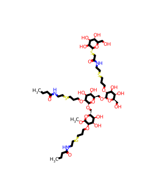 CCCC(=O)NCCSCCCO[C@H]1[C@@H](OC)O[C@H](CO[C@H]2O[C@H](CO[C@H]3O[C@H](CO)[C@@H](O)[C@H](O)[C@H]3OCCCSCCNC(=O)CS[C@H]3OC(CO)[C@@H](O)[C@H](O)C3O)[C@@H](O)[C@H](O)[C@H]2OCCCSCCNC(=O)CCC)[C@@H](O)[C@@H]1O